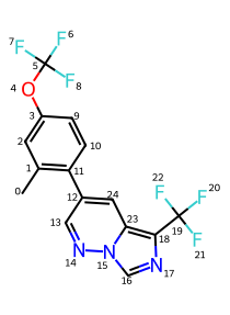 Cc1cc(OC(F)(F)F)ccc1-c1cnn2cnc(C(F)(F)F)c2c1